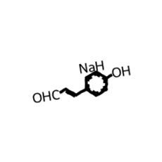 O=CC=Cc1ccc(O)cc1.[NaH]